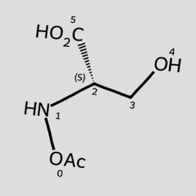 CC(=O)ON[C@@H](CO)C(=O)O